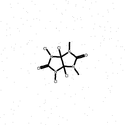 CN1C(=O)N(C)C2(Cl)N(Cl)C(=O)N(Cl)C12Cl